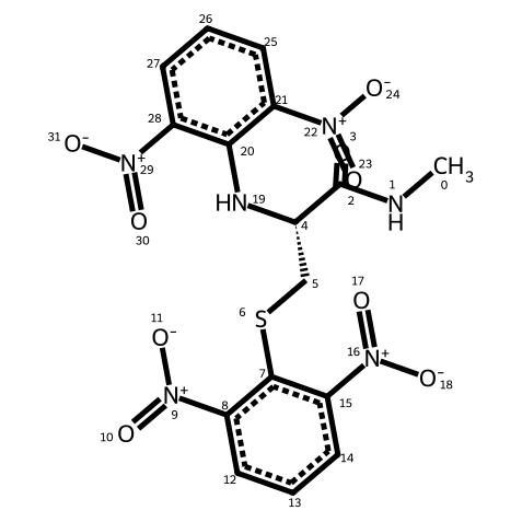 CNC(=O)[C@H](CSc1c([N+](=O)[O-])cccc1[N+](=O)[O-])Nc1c([N+](=O)[O-])cccc1[N+](=O)[O-]